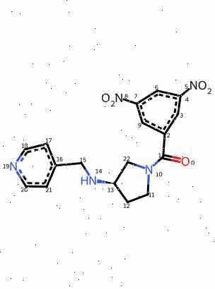 O=C(c1cc([N+](=O)[O-])cc([N+](=O)[O-])c1)N1CC[C@@H](NCc2ccncc2)C1